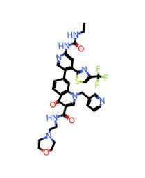 CCNC(=O)Nc1cc(-c2nc(C(F)(F)F)cs2)c(-c2ccc3c(=O)c(C(=O)NCCN4CCOCC4)cn(Cc4cccnc4)c3c2)cn1